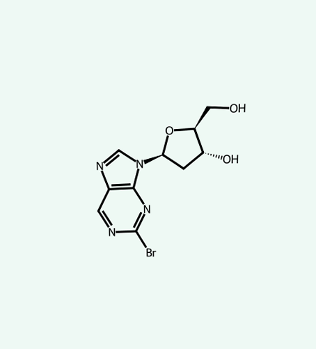 OC[C@@H]1O[C@H](n2cnc3cnc(Br)nc32)C[C@H]1O